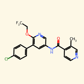 Cc1cnccc1C(=O)Nc1cnc(OCC(F)(F)F)c(-c2ccc(Cl)cc2)c1